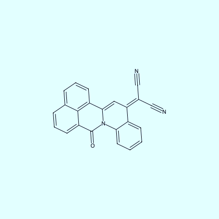 N#CC(C#N)=c1cc2c3cccc4cccc(c(=O)n2c2ccccc12)c43